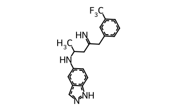 CC(CC(=N)Cc1cccc(C(F)(F)F)c1)Nc1ccc2[nH]ncc2c1